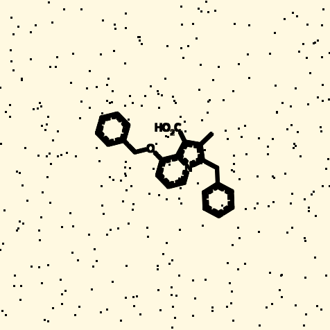 Cc1c(C(=O)O)c2c(OCc3ccccc3)cccn2c1Cc1ccccc1